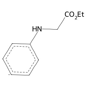 CCOC(=O)CNc1cc[c]cc1